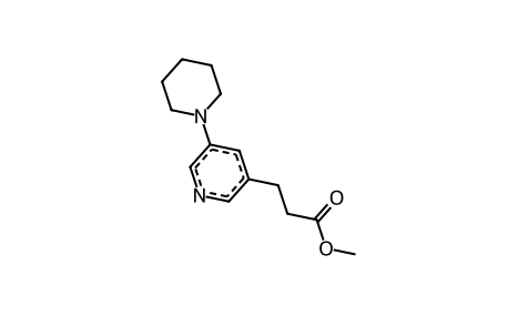 COC(=O)CCc1cncc(N2CCCCC2)c1